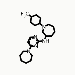 FC(F)(F)C1CCC(N2CCCCC(Nc3nccc(N4CCCCCC4)n3)C2)CC1